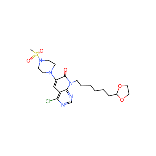 CS(=O)(=O)N1CCN(c2cc3c(Cl)ncnc3n(CCCCCCC3OCCO3)c2=O)CC1